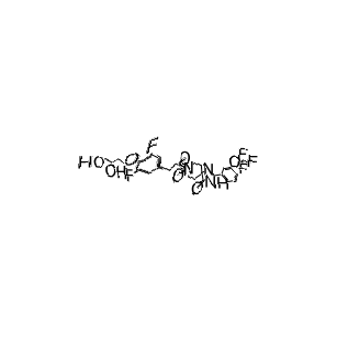 O=C1NC(c2cccc(OC(F)(F)F)c2)=NC12CCN(S(=O)(=O)CCc1cc(F)c(OCCC(O)CO)c(F)c1)CC2